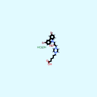 Cl.Cl.O=C(O)CCCCCN1CCN(C[C@@H](O)Cn2c3ccc(Br)cc3c3cc(Br)ccc32)CC1